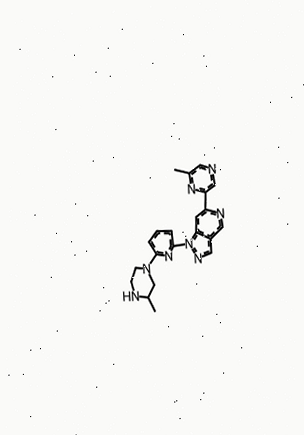 Cc1cncc(-c2cc3c(cn2)cnn3-c2cccc(N3CCNC(C)C3)n2)n1